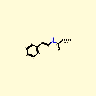 CC(N/C=C/c1ccccc1)C(=O)O